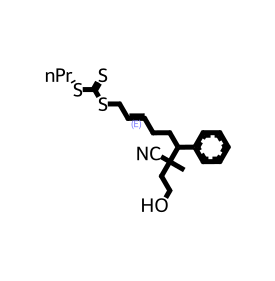 CCCSC(=S)SC/C=C/CCC(c1ccccc1)C(C)(C#N)CCO